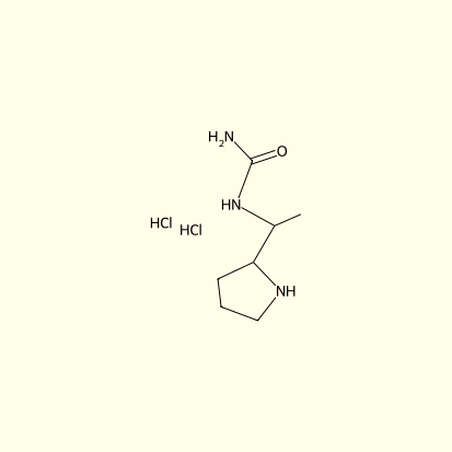 CC(NC(N)=O)C1CCCN1.Cl.Cl